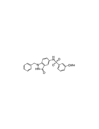 COc1cccc(S(=O)(=O)Nc2ccc3c(c2)c(=O)[nH]n3Cc2ccccc2)c1